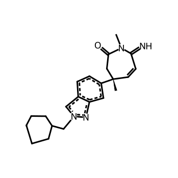 CN1C(=N)C=C[C@](C)(c2ccc3cn(CC4CCCCC4)nc3c2)CC1=O